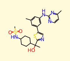 Cc1cc(Nc2nccc(C)n2)cc(-c2cnc(C(C)(O)C3CCC(NS(C)(=O)=O)CC3)s2)c1